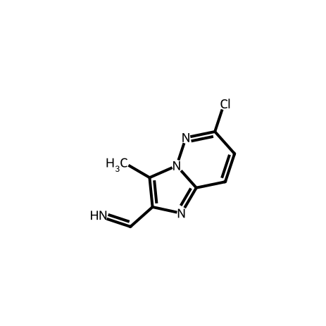 Cc1c(C=N)nc2ccc(Cl)nn12